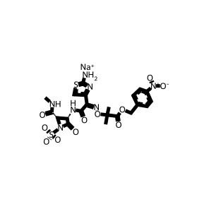 CNC(=O)[C@@H]1[C@H](NC(=O)C(=NOC(C)(C)C(=O)OCc2ccc([N+](=O)[O-])cc2)c2csc(N)n2)C(=O)N1S(=O)(=O)[O-].[Na+]